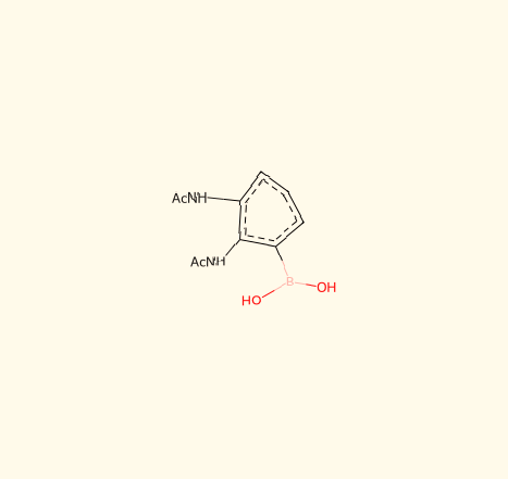 CC(=O)Nc1cccc(B(O)O)c1NC(C)=O